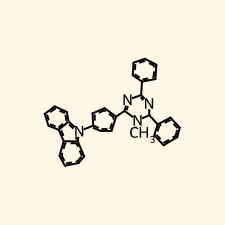 CN1C(c2ccc(-n3c4ccccc4c4ccccc43)cc2)=NC(c2ccccc2)=NC1c1ccccc1